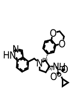 O=S(=O)(N[C@H]1CCN(Cc2cccc3[nH]ncc23)[C@@H]1c1ccc2c(c1)OCCO2)C1CC1